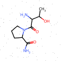 CC(O)C(N)C(=O)N1CCCC1C(N)=O